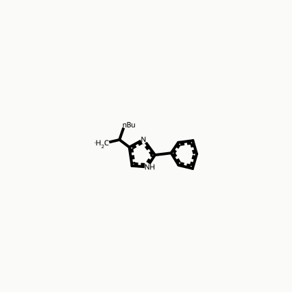 [CH2]C(CCCC)c1c[nH]c(-c2ccccc2)n1